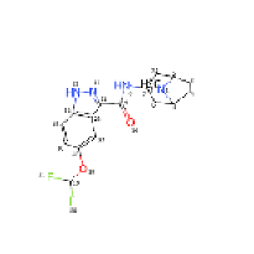 CN1C2CCC1CC(NC(=O)c1n[nH]c3ccc(OC(F)F)cc13)C2